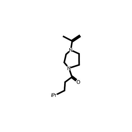 C=C(C)N1CCN(C(=O)CCC(C)C)CC1